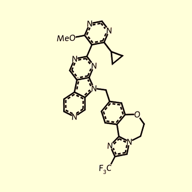 COc1ncnc(C2CC2)c1-c1ncc2c3ccncc3n(Cc3ccc4c(c3)OCCn3cc(C(F)(F)F)nc3-4)c2n1